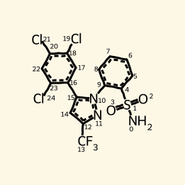 NS(=O)(=O)c1ccccc1-n1nc(C(F)(F)F)cc1-c1cc(Cl)c(Cl)cc1Cl